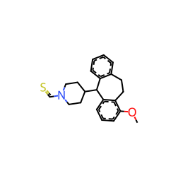 COc1cccc2c1CCc1ccccc1C2C1CCN(C=S)CC1